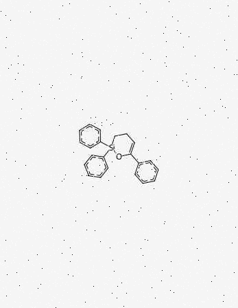 C1=C(c2ccccc2)O[Si](c2ccccc2)(c2ccccc2)CC1